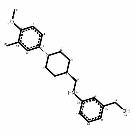 COc1ccc([C@H]2CC[C@H](CNc3cccc(CO)c3)CC2)cc1C